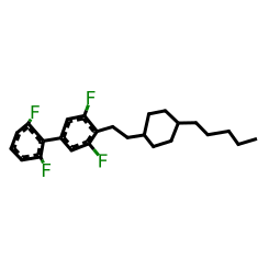 CCCCCC1CCC(CCc2c(F)cc(-c3c(F)cccc3F)cc2F)CC1